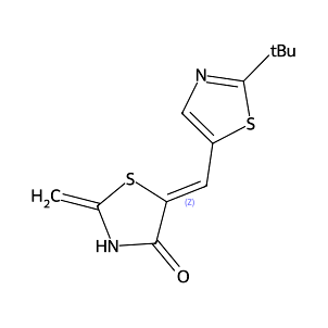 C=c1[nH]c(=O)/c(=C/c2cnc(C(C)(C)C)s2)s1